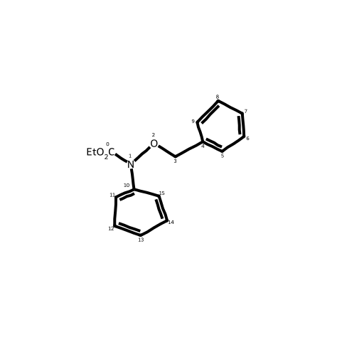 CCOC(=O)N(OCc1ccccc1)c1ccccc1